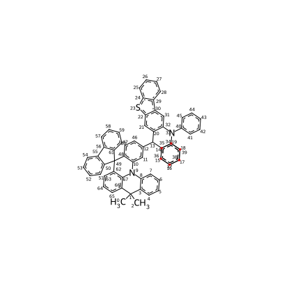 CC1(C)c2ccccc2N2c3cc(C(c4ccccc4)c4cc5sc6ccccc6c5cc4N(c4ccccc4)c4ccccc4)ccc3C3(c4ccccc4-c4ccccc43)c3cccc1c32